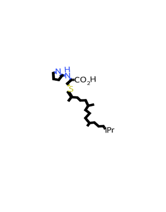 CC(=CSCC(NC1=NCCC1)C(=O)O)CCCC(C)CCCC(C)CCCC(C)C